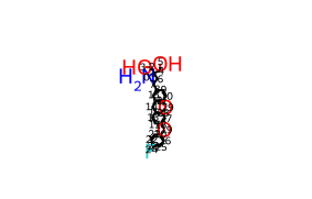 NC(CO)(CO)CCc1ccc2c(c1)Cc1ccc(Oc3ccc(F)cc3)cc1O2